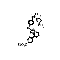 CCOC(=O)N1CC=C(c2cccn3nc(Nc4ccc(C(=O)N(C)C5CCN(C)C5)cc4)nc23)CC1